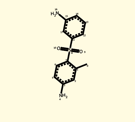 Cc1cc(N)ccc1S(=O)(=O)c1cccc(N)c1